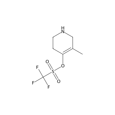 CC1=C(OS(=O)(=O)C(F)(F)F)CCNC1